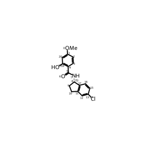 COc1ccc(C(=O)N[C@H]2CCc3cc(Cl)ccc32)c(O)c1